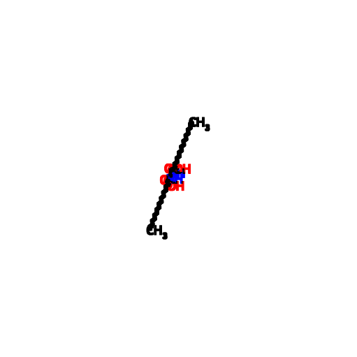 CCCCCCCCCCCCCCCCC(O)C(=O)NCNC(=O)C(O)CCCCCCCCCCCCCCCC